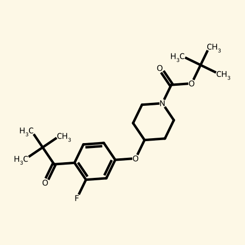 CC(C)(C)OC(=O)N1CCC(Oc2ccc(C(=O)C(C)(C)C)c(F)c2)CC1